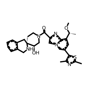 CO[C@H](C)c1cc(-c2sc(C)nc2C)cn2cc(C(=O)N3CC[C@]4(Cc5ccccc5CN4)[C@H](O)C3)nc12